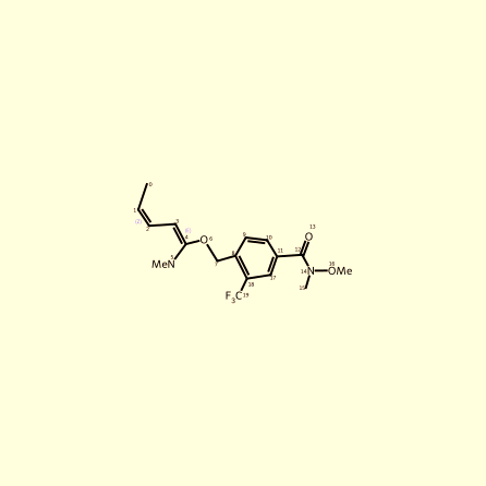 C/C=C\C=C(/NC)OCc1ccc(C(=O)N(C)OC)cc1C(F)(F)F